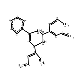 C=C/C=C(\C=C)C1C=C(c2ccccc2)NC(C(/C=C\C)=C/C=C)N1